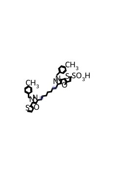 Cc1ccc(Cn2nc(/C=C/CCC/C=C/c3nn(Cc4ccc(C)cc4)c4c3oc3cc(S(=O)(=O)O)sc34)c3oc4ccsc4c32)cc1